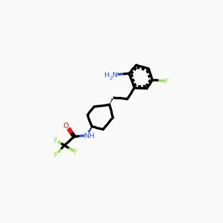 Nc1ccc(F)cc1CC[C@H]1CC[C@H](NC(=O)C(F)(F)F)CC1